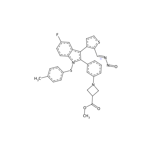 COC(=O)C1CN(c2cccc(-c3c(-c4ccsc4/C=N/N=O)c4cc(F)ccc4n3Sc3ccc(C)cc3)c2)C1